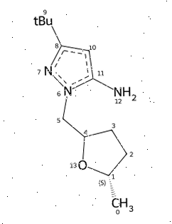 C[C@H]1CCC(Cn2nc(C(C)(C)C)cc2N)O1